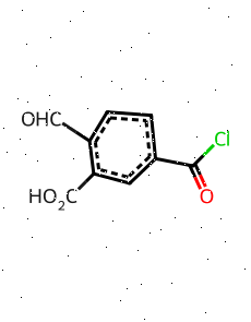 O=Cc1ccc(C(=O)Cl)cc1C(=O)O